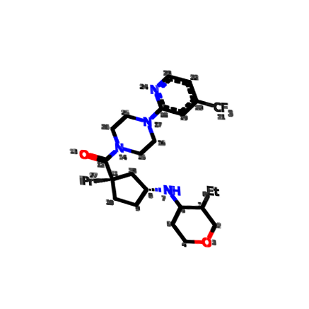 CCC1COCCC1N[C@@H]1CC[C@@](C(=O)N2CCN(c3cc(C(F)(F)F)ccn3)CC2)(C(C)C)C1